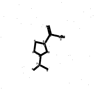 C=C(CCCC)N1CCC(N(C)C)C1